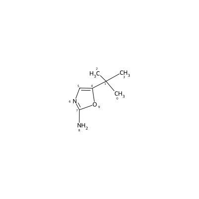 CC(C)(C)c1cnc(N)o1